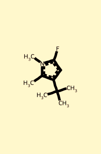 Cc1c(C(C)(C)C)cc(F)n1C